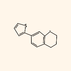 [C]1CCCc2ccc(-c3cccs3)cc21